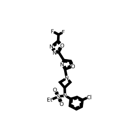 CCS(=O)(=O)N(c1cccc(Cl)c1)C1CN(c2nc(-c3nnc(C(F)F)o3)co2)C1